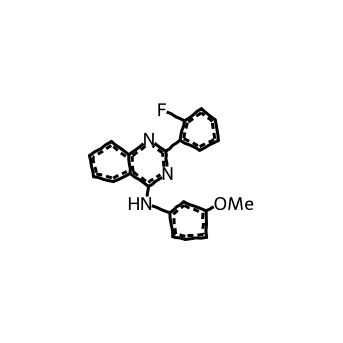 COc1cccc(Nc2nc(-c3ccccc3F)nc3ccccc23)c1